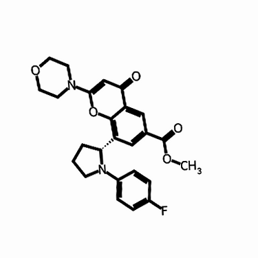 COC(=O)c1cc([C@H]2CCCN2c2ccc(F)cc2)c2oc(N3CCOCC3)cc(=O)c2c1